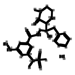 CCC(C)Nc1cc(C(=O)NC[C@](O)(Cc2ccccc2)C2NCCN(C)C2=O)cc(N(C)S(C)(=O)=O)n1.Cl